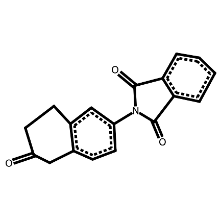 O=C1CCc2cc(N3C(=O)c4ccccc4C3=O)ccc2C1